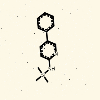 C[Si](C)(C)Nc1ccc(-c2ccccc2)cn1